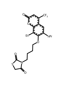 CCCc1cc2c(C(F)(F)F)cc(=O)oc2c(CC)c1OCCCCN1C(=O)CSC1=O